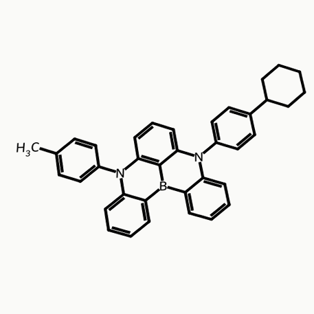 Cc1ccc(N2c3ccccc3B3c4ccccc4N(c4ccc(C5CCCCC5)cc4)c4cccc2c43)cc1